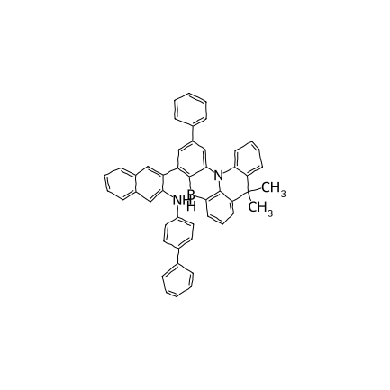 CC1(C)c2ccccc2N2c3cc(-c4ccccc4)cc(-c4cc5ccccc5cc4Nc4ccc(-c5ccccc5)cc4)c3Bc3cccc1c32